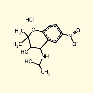 CC(O)NC1c2cc([N+](=O)[O-])ccc2OC(C)(C)C1O.Cl